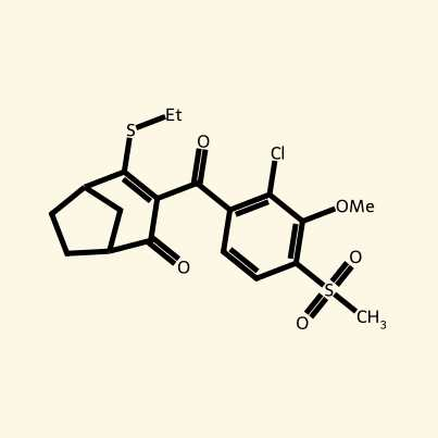 CCSC1=C(C(=O)c2ccc(S(C)(=O)=O)c(OC)c2Cl)C(=O)C2CCC1C2